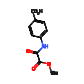 CC(C)(C)OC(=O)C(=O)Nc1ccc(C(=O)O)cc1